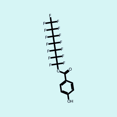 O=C(OC(F)(F)C(F)(F)C(F)(F)C(F)(F)C(F)(F)C(F)(F)C(F)(F)F)c1ccc(O)cc1